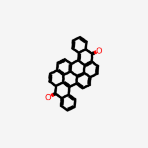 O=C1c2ccc3ccc4c5c6c7c(ccc8c(c2c3c4c78)=C2C=CC=CC12)C=CC6C(=O)c1ccccc1-5